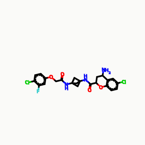 NC1CC(C(=O)NC23CC(NC(=O)COc4ccc(Cl)c(F)c4)(C2)C3)Oc2ccc(Cl)cc21